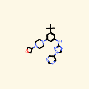 CC(C)(C)c1cc(Nc2ncn(-c3cncnc3)n2)cc(N2CCN(C3COC3)CC2)c1